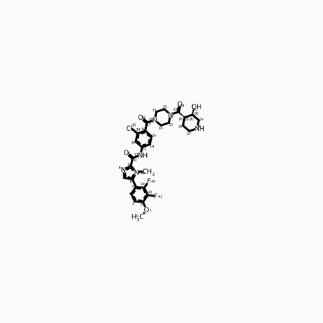 COc1ccc(-c2cnc(C(=O)Nc3ccc(C(=O)N4CCN(C(=O)[C@@H]5CCNC[C@@H]5O)CC4)c(Cl)c3)n2C)c(F)c1F